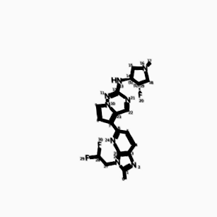 Cc1nc2ccc(-c3ccn4nc(N[C@H]5CN(C)C[C@@H]5F)ncc34)nc2n1CC(F)F